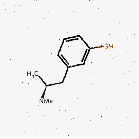 CN[C@@H](C)Cc1cccc(S)c1